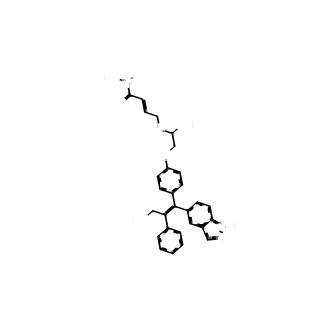 CCC(=C(c1ccc(OCC(C)NCC=CC(=O)N(C)C)cc1)c1ccc2[nH]ncc2c1)c1ccccc1